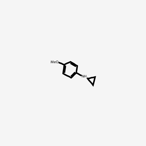 C1CC1.COc1ccc(N)cc1